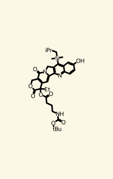 CCC1(OC(=O)CCCNC(=O)OC(C)(C)C)C(=O)OCc2c1cc1n(c2=O)Cc2c-1nc1ccc(O)cc1c2[Si](C)(C)CC(C)C